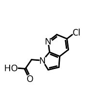 O=C(O)Cn1ccc2cc(Cl)cnc21